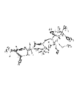 CCOP(=O)(OCC)C(Cc1nc(C(F)(F)c2ccc(OC)c(Cl)c2)no1)C(=O)OC(C)(C)C